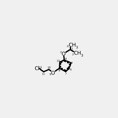 CC(C)Oc1c[c]cc(OCCCl)c1